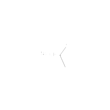 CC[O].[Na+].[OH-]